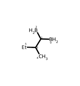 BC(B)C(C)CC